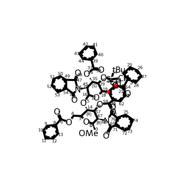 CO[C@H]1OC(COC(=O)c2ccccc2)[C@H](OC2OC(COC(=O)c3ccccc3)C(O[Si](C)(C)C(C)(C)C)[C@@H](OC(=O)c3ccccc3)[C@@H]2N2C(=O)c3ccccc3C2=O)C(OC(=O)c2ccccc2)[C@H]1N1C(=O)c2ccccc2C1=O